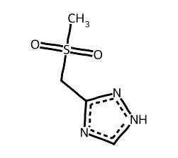 CS(=O)(=O)Cc1nc[nH]n1